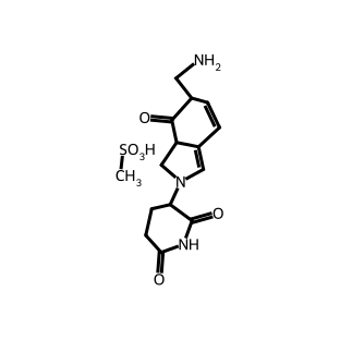 CS(=O)(=O)O.NCC1C=CC2=CN(C3CCC(=O)NC3=O)CC2C1=O